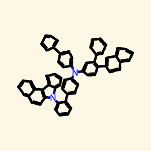 c1ccc(-c2ccc(N(c3ccc(-c4ccccc4-n4c5ccccc5c5c6ccccc6ccc54)cc3)c3ccc(-c4ccc5ccccc5c4)c(-c4ccccc4)c3)cc2)cc1